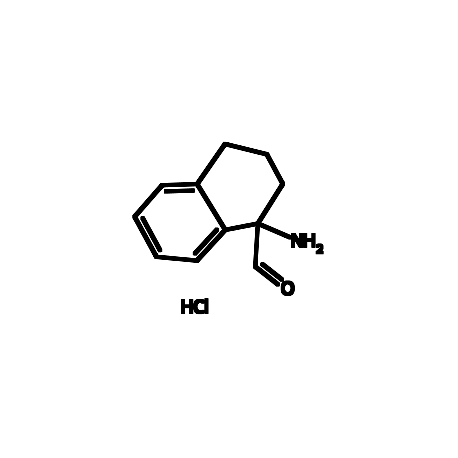 Cl.NC1(C=O)CCCc2ccccc21